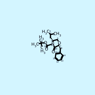 CC(C)C[C@H]1CO[C@@H](Cc2ccccc2)C(=O)N1C(=O)OC(C)(C)C